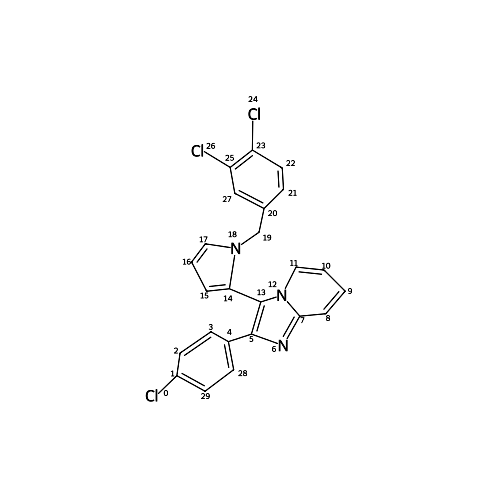 Clc1ccc(-c2nc3ccccn3c2-c2cccn2Cc2ccc(Cl)c(Cl)c2)cc1